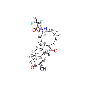 CC1(C)CCC2C(=O)C=C3[C@@]4(C)C=C(C#N)C(=O)C(C)(C)[C@@H]4CC[C@@]3(C)[C@]2(C)CC[C@@](C)(NC(=O)C(C)(F)F)CC1